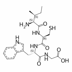 CC[C@H](C)[C@H](N)C(=O)N[C@@H](CS)C(=O)N[C@@H](Cc1c[nH]c2ccccc12)C(=O)NCC(=O)O